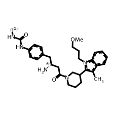 CCCNC(=O)Nc1ccc(C[C@@H](N)CC(=O)N2CCCC(c3c(C)c4ccccc4n3CCCOC)C2)cc1